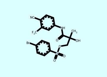 CC(O)(COS(=O)(=O)c1ccc(Br)cc1)C(=O)Nc1ccc(C#N)c(C(F)(F)F)c1